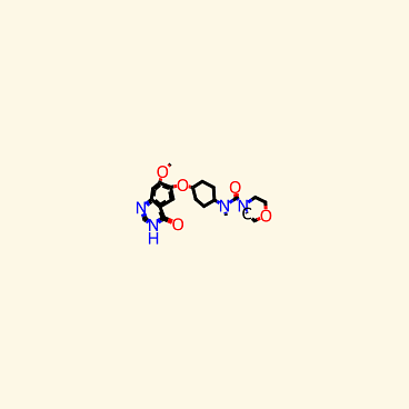 COc1cc2nc[nH]c(=O)c2cc1OC1CCC(N(C)C(=O)N2CCOCC2)CC1